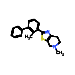 Cc1c(-c2ccccc2)cccc1-c1nc2c(s1)CN(C)CC2